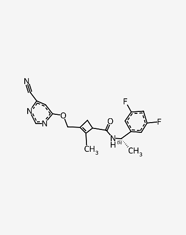 CC1=C(COc2cc(C#N)ncn2)CC1C(=O)N[C@@H](C)c1cc(F)cc(F)c1